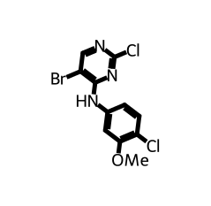 COc1cc(Nc2nc(Cl)ncc2Br)ccc1Cl